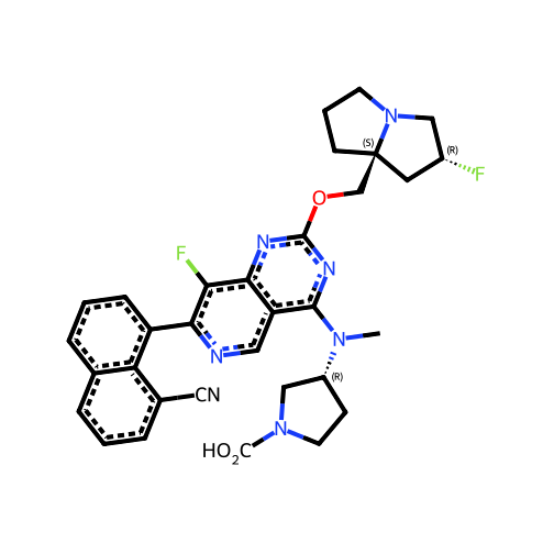 CN(c1nc(OC[C@@]23CCCN2C[C@H](F)C3)nc2c(F)c(-c3cccc4cccc(C#N)c34)ncc12)[C@@H]1CCN(C(=O)O)C1